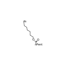 CCCCCC(=O)OCCCCCCC(C)C